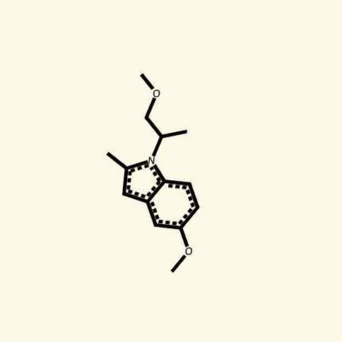 COCC(C)n1c(C)cc2cc(OC)ccc21